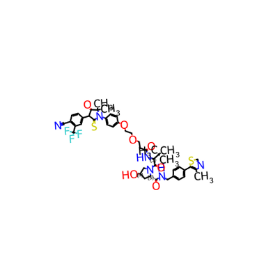 Cc1ncsc1-c1ccc(CNC(=O)[C@@H]2C[C@@H](O)CN2C(=O)[C@@H](NC(=O)CCOCCOc2ccc(N3C(=S)C(c4ccc(C#N)c(C(F)(F)F)c4)C(=O)C3(C)C)cc2)C(C)(C)C)cc1